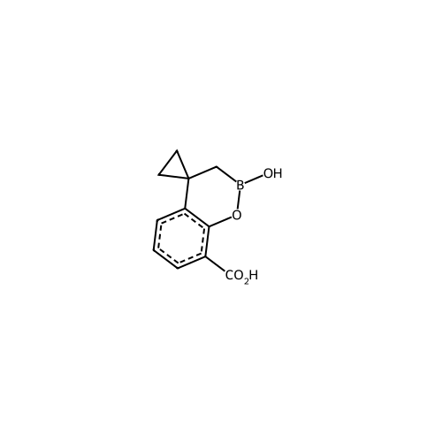 O=C(O)c1cccc2c1OB(O)CC21CC1